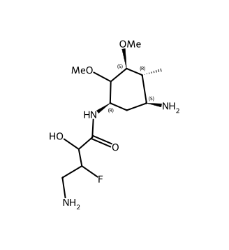 COC1[C@@H](OC)[C@H](C)[C@@H](N)C[C@H]1NC(=O)C(O)C(F)CN